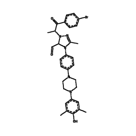 CC1=NN(C(C)C(=O)c2ccc(Br)cc2)C(C=O)N1c1ccc(N2CCN(c3cc(C)c(O)c(C)c3)CC2)cc1